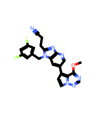 COc1ncnn2ccc(-c3cnc4nc(CCC#N)n(Cc5cc(F)cc(F)c5)c4c3)c12